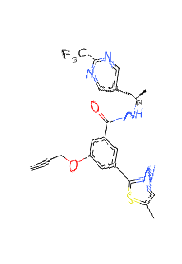 C#CCOc1cc(C(=O)N[C@H](C)c2cnc(C(F)(F)F)nc2)cc(-c2ncc(C)s2)c1